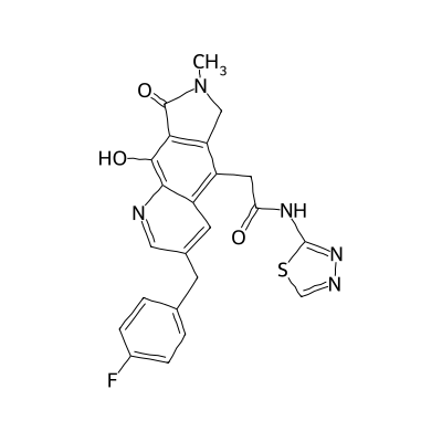 CN1Cc2c(c(O)c3ncc(Cc4ccc(F)cc4)cc3c2CC(=O)Nc2nncs2)C1=O